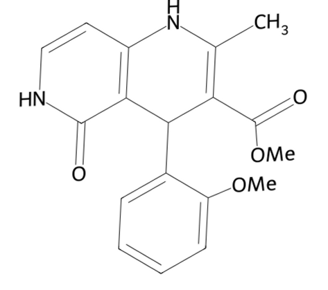 COC(=O)C1=C(C)Nc2cc[nH]c(=O)c2C1c1ccccc1OC